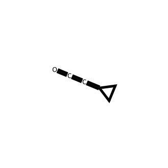 O=C=C=C1CC1